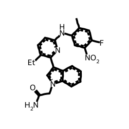 CCc1ccc(Nc2cc([N+](=O)[O-])c(F)cc2C)nc1-c1cn(CC(N)=O)c2ccccc12